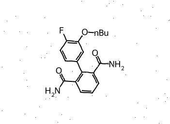 CCCCOc1cc(-c2c(C(N)=O)cccc2C(N)=O)ccc1F